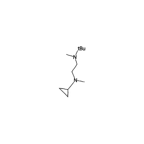 CN(CCN(C)C(C)(C)C)C1CC1